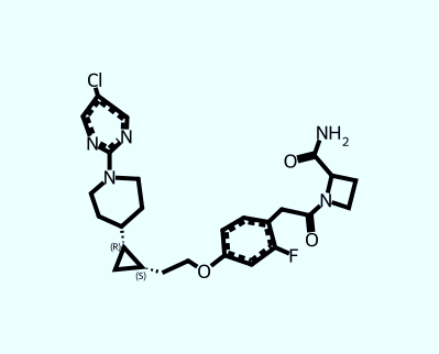 NC(=O)C1CCN1C(=O)Cc1ccc(OCC[C@@H]2C[C@@H]2C2CCN(c3ncc(Cl)cn3)CC2)cc1F